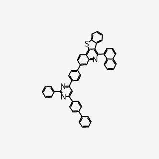 c1ccc(-c2ccc(-c3cc(-c4ccc(-c5ccc6c(c5)nc(-c5cccc7ccccc57)c5c7ccccc7sc65)cc4)nc(-c4ccccc4)n3)cc2)cc1